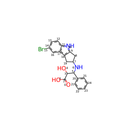 O=C(O)C(O)C(NC1Cc2[nH]c3ccc(Br)cc3c2C1)c1ccccc1